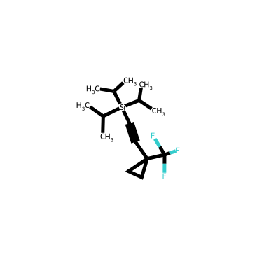 CC(C)[Si](C#CC1(C(F)(F)F)CC1)(C(C)C)C(C)C